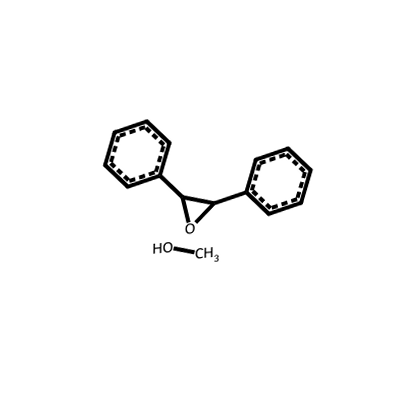 CO.c1ccc(C2OC2c2ccccc2)cc1